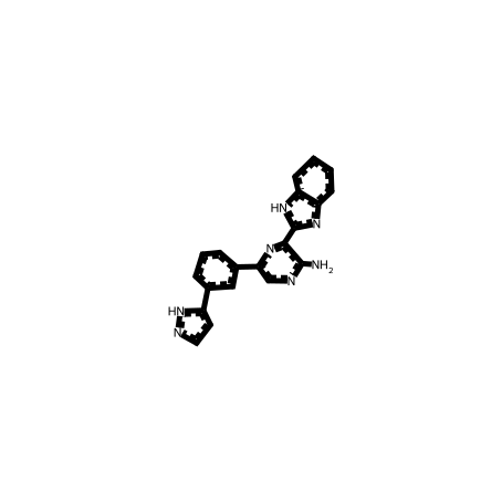 Nc1ncc(-c2cccc(-c3ccn[nH]3)c2)nc1-c1nc2ccccc2[nH]1